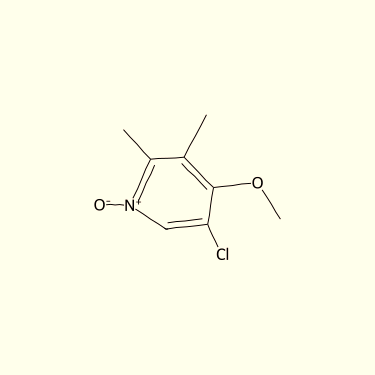 COc1c(Cl)c[n+]([O-])c(C)c1C